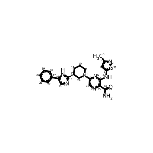 Cc1cc(Nc2nc(N3CCC[C@H](c4ncc(-c5ccccc5)[nH]4)C3)cnc2C(N)=O)sn1